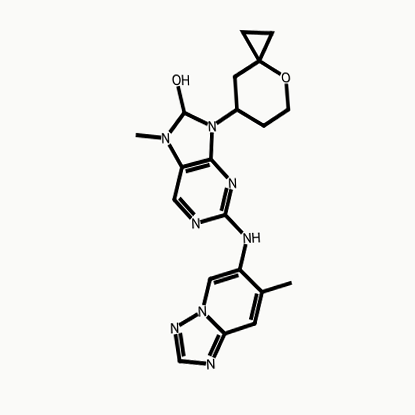 Cc1cc2ncnn2cc1Nc1ncc2c(n1)N(C1CCOC3(CC3)C1)C(O)N2C